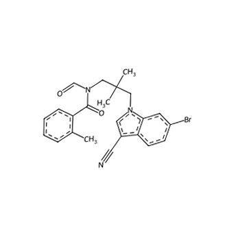 Cc1ccccc1C(=O)N(C=O)CC(C)(C)Cn1cc(C#N)c2ccc(Br)cc21